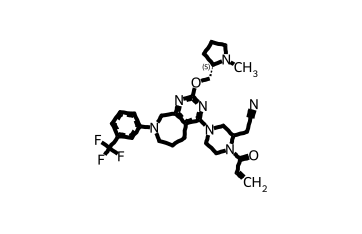 C=CC(=O)N1CCN(c2nc(OC[C@@H]3CCCN3C)nc3c2CCCN(c2cccc(C(F)(F)F)c2)C3)CC1CC#N